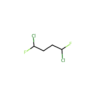 FC(Cl)CCC(F)Cl